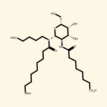 CCCCCCCCCCCCCCCCCC(=O)N(CCCCCCCCCCCCCC)[C@@H]1O[C@H](CO)[C@H](O)[C@H](O)[C@H]1NC(=O)CCCCCCC(=O)O